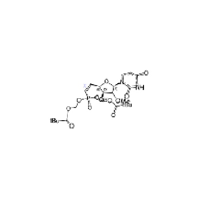 COC1[C@@H](O)[C@@H](/C=C\P(=O)(OCOC(=O)C(C)(C)C)OCOC(=O)C(C)(C)C)O[C@H]1n1ccc(=O)[nH]c1=O